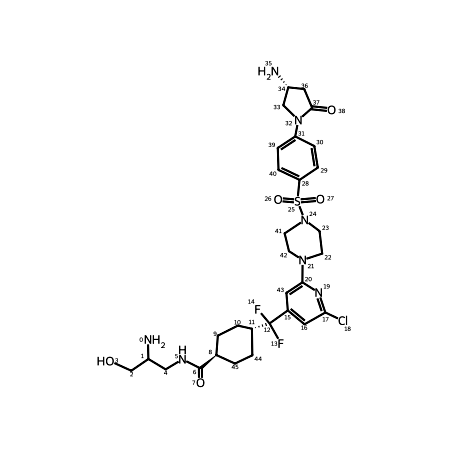 NC(CO)CNC(=O)[C@H]1CC[C@H](C(F)(F)c2cc(Cl)nc(N3CCN(S(=O)(=O)c4ccc(N5C[C@H](N)CC5=O)cc4)CC3)c2)CC1